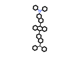 c1ccc(C(c2ccccc2)c2ccc3cc(-c4c5ccccc5c(-c5ccc6cc(N(c7ccccc7)c7ccccc7)ccc6c5)c5ccccc45)ccc3c2)cc1